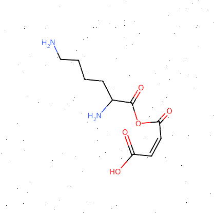 NCCCCC(N)C(=O)OC(=O)/C=C\C(=O)O